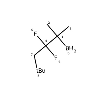 BC(C)(C)C(F)(F)CC(C)(C)C